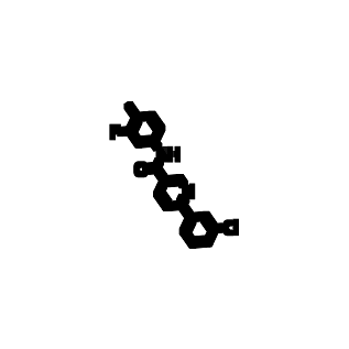 Cc1ccc(NC(=O)c2ccc(-c3cccc(Cl)c3)nc2)cc1F